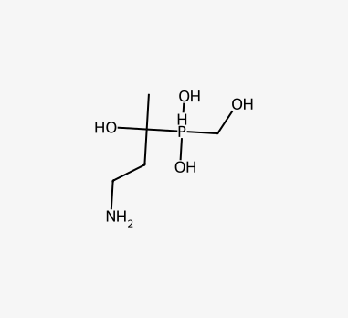 CC(O)(CCN)[PH](O)(O)CO